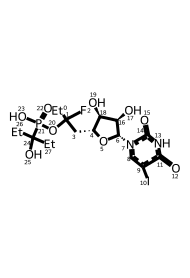 CCC(F)(C[C@H]1O[C@@H](n2cc(I)c(=O)[nH]c2=O)[C@H](O)[C@@H]1O)OP(=O)(O)C(O)(CC)CC